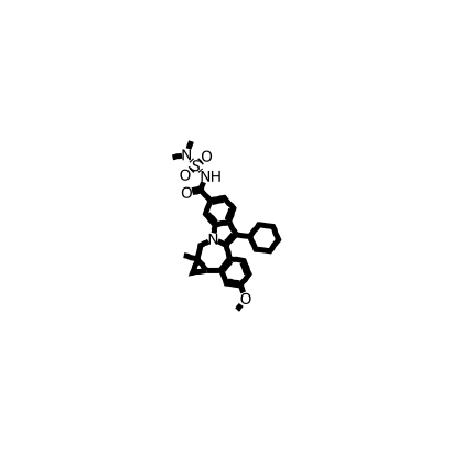 COc1ccc2c(c1)C1CC1(C)Cn1c-2c(C2CCCCC2)c2ccc(C(=O)NS(=O)(=O)N(C)C)cc21